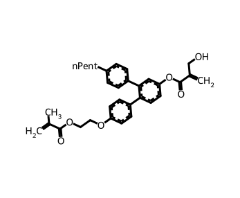 C=C(C)C(=O)OCCOc1ccc(-c2ccc(OC(=O)C(=C)CO)cc2-c2ccc(CCCCC)cc2)cc1